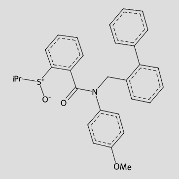 COc1ccc(N(Cc2ccccc2-c2ccccc2)C(=O)c2ccccc2[S+]([O-])C(C)C)cc1